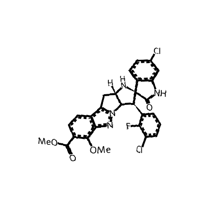 COC(=O)c1ccc2c3n(nc2c1OC)C1[C@H](C3)N[C@@]2(C(=O)Nc3cc(Cl)ccc32)[C@H]1c1cccc(Cl)c1F